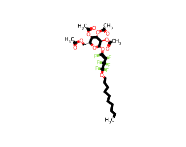 CCCCCCCCCCOC(F)(F)C(F)(F)/C(F)=C(\F)O[C@H]1O[C@H](COC(C)=O)[C@H](OC(C)=O)[C@H](OC(C)=O)[C@H]1OC(C)=O